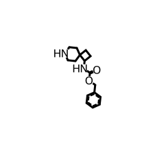 O=C(NC1CCC12CCNCC2)OCc1ccccc1